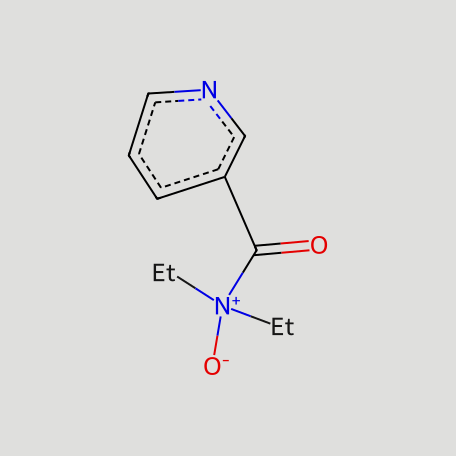 CC[N+]([O-])(CC)C(=O)c1cccnc1